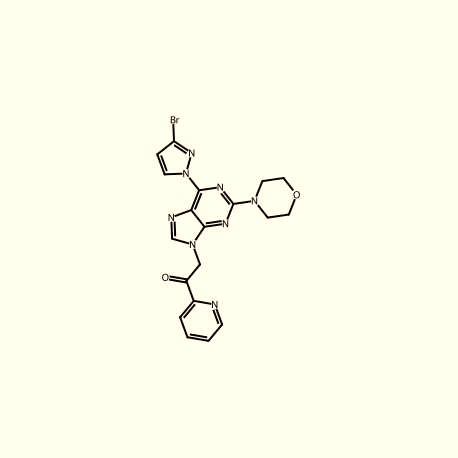 O=C(Cn1cnc2c(-n3ccc(Br)n3)nc(N3CCOCC3)nc21)c1ccccn1